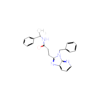 CC(NC(=O)CCc1nc2cccnc2n1Cc1ccccc1)c1ccccc1